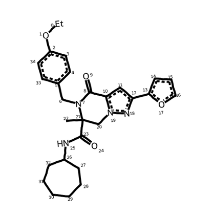 CCOc1ccc(CN2C(=O)c3cc(-c4ccco4)nn3CC2(C)C(=O)NC2CCCCCC2)cc1